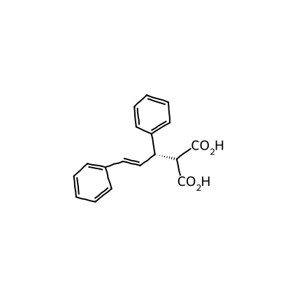 O=C(O)C(C(=O)O)[C@H](/C=C/c1ccccc1)c1ccccc1